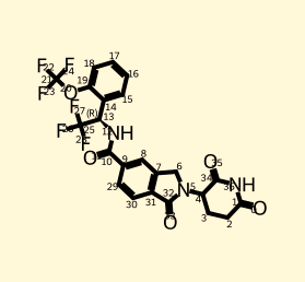 O=C1CCC(N2Cc3cc(C(=O)N[C@H](c4ccccc4OC(F)(F)F)C(F)(F)F)ccc3C2=O)C(=O)N1